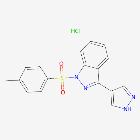 Cc1ccc(S(=O)(=O)n2nc(-c3cn[nH]c3)c3ccccc32)cc1.Cl